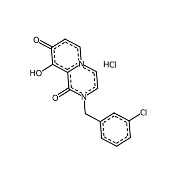 Cl.O=c1ccn2ccn(Cc3cccc(Cl)c3)c(=O)c2c1O